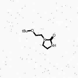 CC(C)(C)OCCN1CCNC1=O